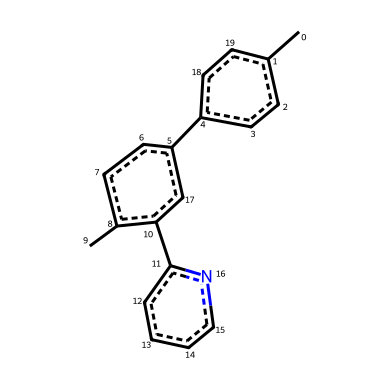 Cc1ccc(-c2ccc(C)c(-c3ccccn3)c2)cc1